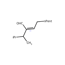 CCCCCC/C=C(\C=O)C(C)C(C)C